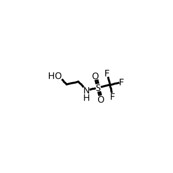 O=S(=O)(NCCO)C(F)(F)F